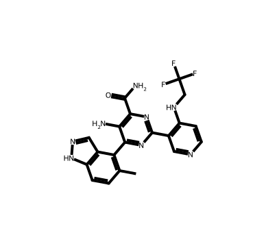 Cc1ccc2[nH]ncc2c1-c1nc(-c2cnccc2NCC(F)(F)F)nc(C(N)=O)c1N